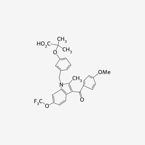 COc1ccc(C(=O)c2c(C)n(Cc3cccc(OC(C)(C)C(=O)O)c3)c3cc(OC(F)(F)F)ccc23)cc1